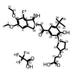 CCOc1cc2c(c(F)c1OCC)C(=N)N(CC(=O)c1cc(N3CCC(OCC(=O)O)C3)c(O)c(C(C)(C)C)c1)C2.O=C(O)C(F)(F)F